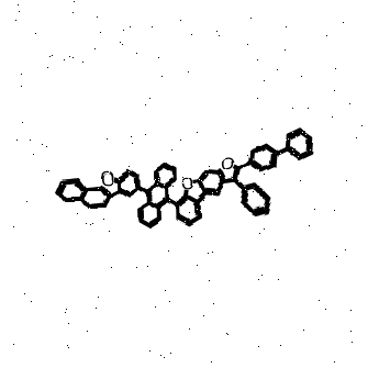 c1ccc(-c2ccc(-c3oc4cc5oc6c(-c7c8ccccc8c(-c8ccc9oc%10c%11ccccc%11ccc%10c9c8)c8ccccc78)cccc6c5cc4c3-c3ccccc3)cc2)cc1